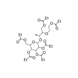 CCC(=O)OCC1OC(O[C@@H](C)C(COC(=O)CC)O[C@@H](C)COC(=O)CC)C(OC(=O)CC)C(OC(=O)CC)C1OC(=O)CC